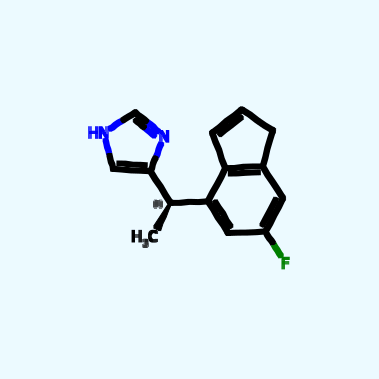 C[C@@H](c1c[nH]cn1)c1cc(F)cc2c1C=CC2